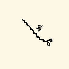 CCCCCCCCCCCCCCCC1CCN1.C[N+](C)(C)O.[Cl-]